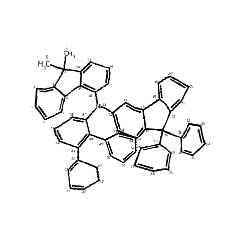 CC1(C)c2ccccc2-c2c(N(c3ccc4c(c3)-c3ccccc3C4(c3ccccc3)c3ccccc3)c3cccc(C4=CC=CCC4)c3-c3ccccc3)cccc21